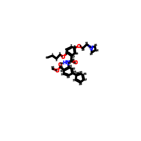 CCCCOc1ccc(OCCN2CCC2)cc1C(=O)Nc1cc(-c2ccccc2)ccc1C(=O)OC